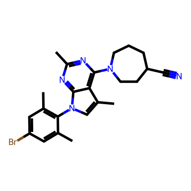 Cc1nc(N2CCCC(C#N)CC2)c2c(C)cn(-c3c(C)cc(Br)cc3C)c2n1